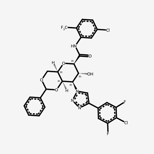 O=C(Nc1cc(Cl)ccc1C(F)(F)F)[C@@H]1O[C@@H]2COC(c3ccccc3)O[C@@H]2[C@H](n2cc(-c3cc(F)c(Cl)c(F)c3)nn2)[C@H]1O